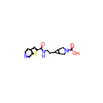 O=C(NCCC1C2CN(C(=O)O)CC12)c1cc2ccncc2s1